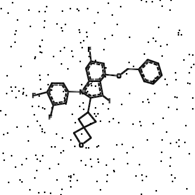 Fc1cc(OCc2ccccc2)c2c(I)c(C3CC4(COC4)C3)n(-c3ccc(F)c(F)c3)c2c1